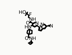 CC(C)(O)[C@H](F)CNC(=O)c1cnc(-c2ccc3cc(C#N)cnn23)cc1NC12CCC(C(=O)NC34CC(C3)C4)(CC1)CC2